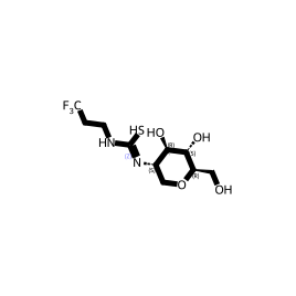 OC[C@H]1OC[C@H](/N=C(\S)NCCC(F)(F)F)[C@@H](O)[C@@H]1O